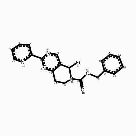 CCC1c2cnc(-c3ccccn3)nc2CCN1C(=O)OCc1ccccc1